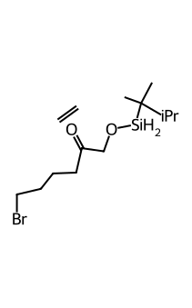 C=C.CC(C)C(C)(C)[SiH2]OCC(=O)CCCCBr